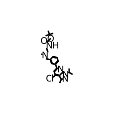 Cc1nn(C(C)C)c2nc(-c3cccc(CN(C)CCNC(=O)OC(C)(C)C)c3)cc(Cl)c12